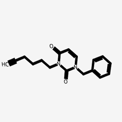 C#CCCCCn1c(=O)ccn(Cc2ccccc2)c1=O